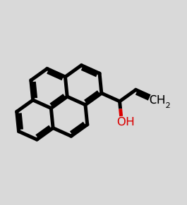 C=CC(O)c1ccc2ccc3cccc4ccc1c2c34